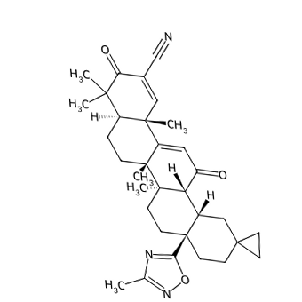 Cc1noc([C@]23CCC4(CC4)C[C@H]2[C@H]2C(=O)C=C4[C@@]5(C)C=C(C#N)C(=O)C(C)(C)[C@@H]5CC[C@@]4(C)[C@]2(C)CC3)n1